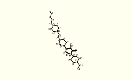 CCCCCC1CCC(/C=C/C2C=CC(c3ccc(C4CCC(CC)CC4)c(F)c3F)CC2)CC1